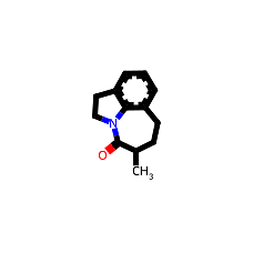 CC1CCc2cccc3c2N(CC3)C1=O